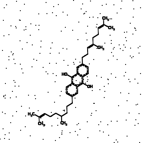 CC(C)=CCC/C(C)=C/CCc1ccc2c(O)c3cc(CCCC(C)CCC=C(C)C)ccc3c(O)c2c1